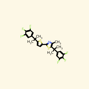 Cc1nc(-c2ccc(C(C)(C)c3cc(F)c(F)c(F)c3)s2)sc1C(C)(C)c1cc(F)c(F)c(F)c1